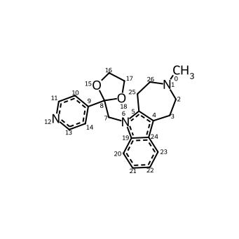 CN1CCc2c(n(CC3(c4ccncc4)OCCO3)c3ccccc23)CC1